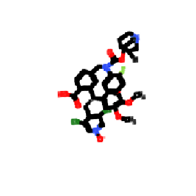 COc1ccc([C@H](Cc2c(Cl)c[n+]([O-])cc2Cl)c2cc(CN(C(=O)O[C@H]3CN4CCC3CC4)c3ccccc3F)ccc2C(=O)O)cc1OC